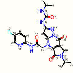 CC(C)NC(=O)Nc1cc2n(CC(=O)Nc3ccc(F)cn3)c3c(c(=O)n2n1)CN(C(C)C)C3=O